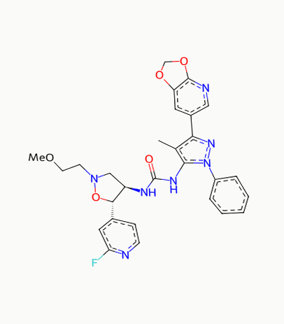 COCCN1C[C@@H](NC(=O)Nc2c(C)c(-c3cnc4c(c3)OCO4)nn2-c2ccccc2)[C@H](c2ccnc(F)c2)O1